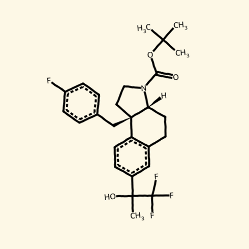 CC(C)(C)OC(=O)N1CC[C@@]2(Cc3ccc(F)cc3)c3ccc(C(C)(O)C(F)(F)F)cc3CC[C@@H]12